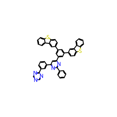 c1ccc(-c2nc(-c3cc(-c4ccc5sc6ccccc6c5c4)cc(-c4ccc5sc6ccccc6c5c4)c3)cc(-c3cccc(-c4ncncn4)c3)n2)cc1